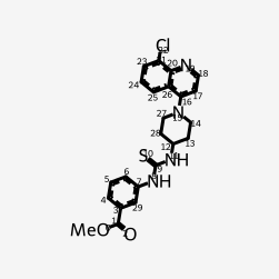 COC(=O)c1cccc(NC(=S)NC2CCN(c3ccnc4c(Cl)cccc34)CC2)c1